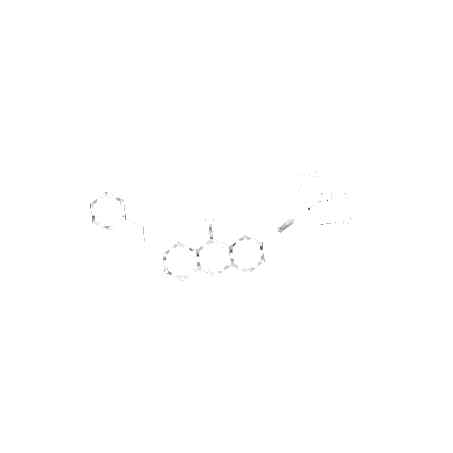 CC(=O)NC(C#Cc1ccc2sc3ccc(OCc4ccccc4)cc3c(=O)c2c1)(COC(C)=O)COC(C)=O